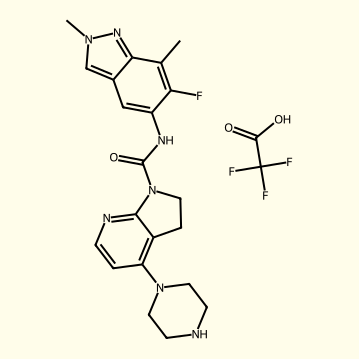 Cc1c(F)c(NC(=O)N2CCc3c(N4CCNCC4)ccnc32)cc2cn(C)nc12.O=C(O)C(F)(F)F